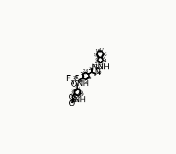 O=C(N[C@H](c1ccc(-c2cnc(NC3Cc4ccccc4C3)nc2)cc1)C(F)(F)F)c1ccc2[nH]c(=O)oc2c1